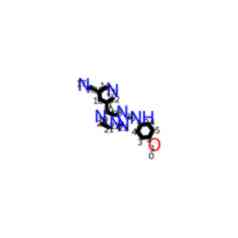 COc1ccc(Nc2nc3c(-c4cncc(C#N)c4)nccn3n2)cc1